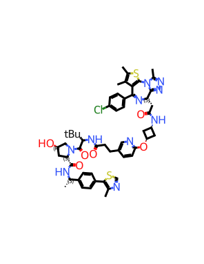 Cc1ncsc1-c1ccc([C@H](C)NC(=O)[C@@H]2C[C@@H](O)CN2C(=O)C(NC(=O)CCc2ccc(O[C@H]3C[C@@H](NC(=O)C[C@@H]4N=C(c5ccc(Cl)cc5)c5c(sc(C)c5C)-n5c(C)nnc54)C3)nc2)C(C)(C)C)cc1